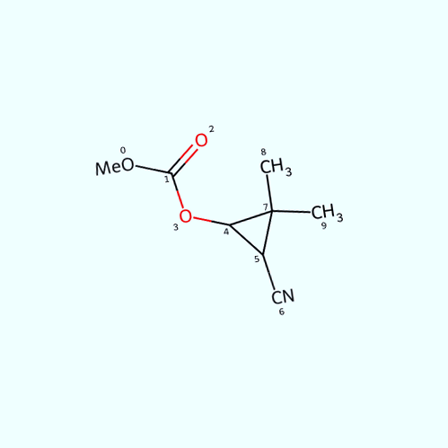 COC(=O)OC1C(C#N)C1(C)C